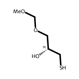 COCOC[C@@H](O)CS